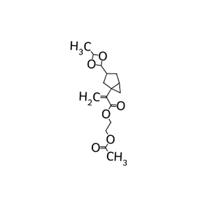 C=C(C(=O)OCCOC(C)=O)C12CC(C3OC(C)O3)CC1C2